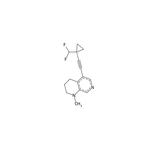 CN1CCCc2c(C#CC3(C(F)F)CC3)cncc21